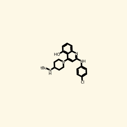 CC(C)(C)NC1CCN(c2cc(Nc3ccc(Cl)cc3)nc3cccc(O)c23)CC1